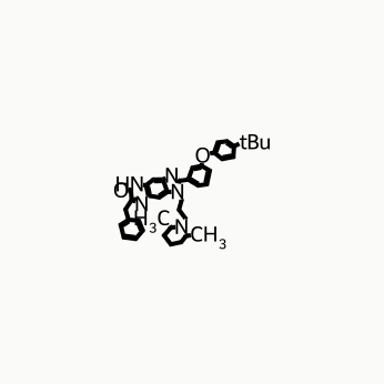 CC1CCCC(C)N1CCCn1c(-c2cccc(Oc3ccc(C(C)(C)C)cc3)c2)nc2cc3[nH]c(=O)c(Cc4ccccc4)nc3cc21